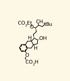 CCOC(=O)O[C@H](CC[C@@H]1[C@H]2Cc3cccc(OCC(=O)O)c3C[C@H]2C[C@H]1O)C(C)CC(C)(C)C